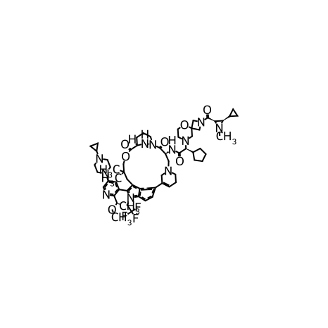 CO[C@@H](C)c1ncc(N2CCN(C3CC3)CC2)cc1-c1c2c3cc(ccc3n1CC(F)(F)F)C1=CCCN(C1)C[C@H](NC(=O)[C@H](C1CCCC1)N1CCOC3(CN(C(=O)[C@H]4[C@@H](C5CC5)N4C)C3)C1)C(=O)N1CCC[C@H](N1)C(=O)OCC(C)(C)C2